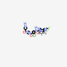 Cn1c(-c2cn(CC(F)F)nc2C(F)(F)F)cnc1C(=O)Nc1ccc(C(=O)N2CCN(C(=O)C3CCNCC3)CC2)c(Cl)c1